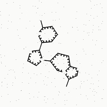 CCOC(=O)c1cnc2ccc(-n3ccnc3-c3cccc(C)n3)cn12